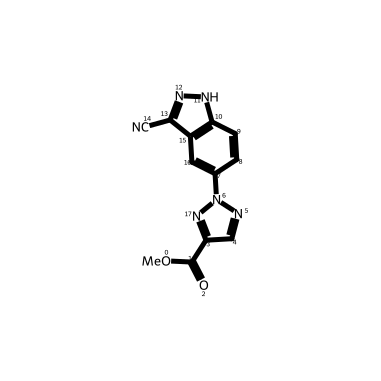 COC(=O)c1cnn(-c2ccc3[nH]nc(C#N)c3c2)n1